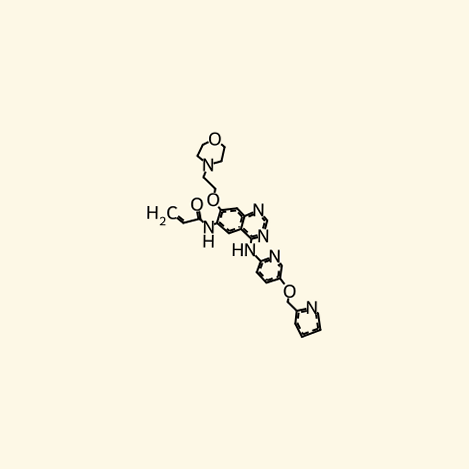 C=CC(=O)Nc1cc2c(Nc3ccc(OCc4ccccn4)cn3)ncnc2cc1OCCN1CCOCC1